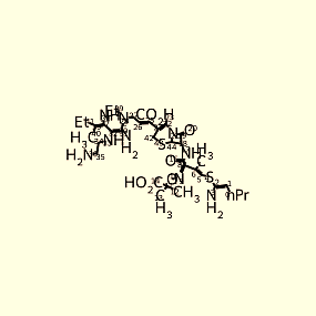 CCC/C=C(\N)S/C=C(C)/C(=N/OC(C)(C)C(=O)O)C(=O)N[C@@H]1C(=O)N2C(C(=O)O)=C(/C=C/CN(CC)/C(N)=C(NCCN)\C(N)=C(/C)CC)CSC12